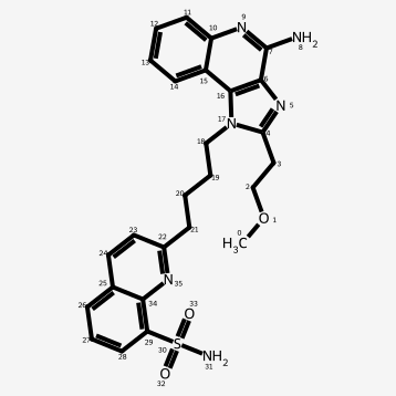 COCCc1nc2c(N)nc3ccccc3c2n1CCCCc1ccc2cccc(S(N)(=O)=O)c2n1